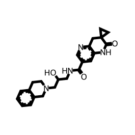 O=C(NCC(O)CN1CCc2ccccc2C1)c1cnc2c(c1)NC(=O)C1(CC1)C2